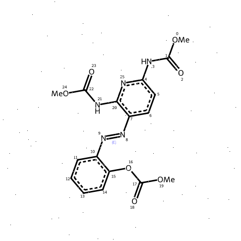 COC(=O)Nc1ccc(/N=N/c2ccccc2OC(=O)OC)c(NC(=O)OC)n1